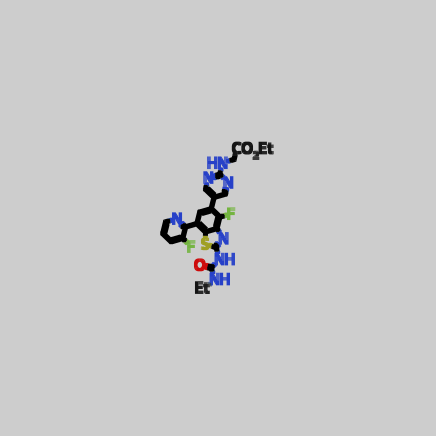 CCNC(=O)Nc1nc2c(F)c(-c3cnc(NCC(=O)OCC)nc3)cc(-c3ncccc3F)c2s1